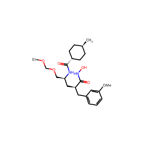 CCOCOC[C@H](C[C@H](Cc1cccc(OC)c1)C(=O)NO)NC(=O)[C@H]1CC[C@H](C)CC1